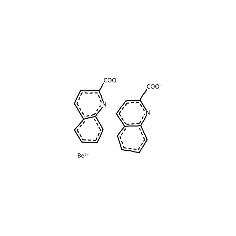 O=C([O-])c1ccc2ccccc2n1.O=C([O-])c1ccc2ccccc2n1.[Be+2]